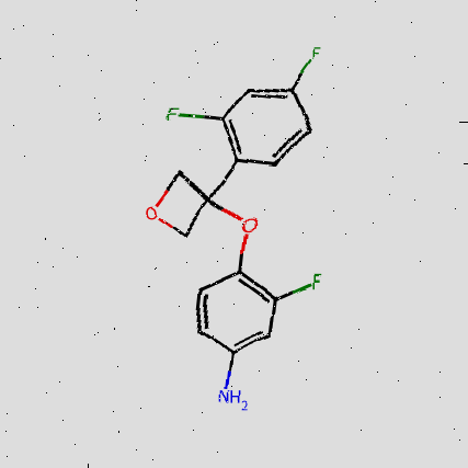 Nc1ccc(OC2(c3ccc(F)cc3F)COC2)c(F)c1